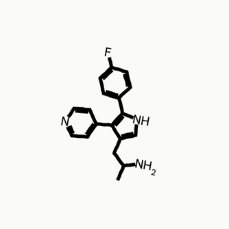 CC(N)Cc1c[nH]c(-c2ccc(F)cc2)c1-c1ccncc1